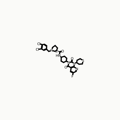 O=C(NC1CCC(n2c(=O)c3cc(F)cnc3n(C3CCSCC3)c2=O)CC1)[C@@H]1CCCN(Cc2ccc(Cl)c(Cl)c2)C1